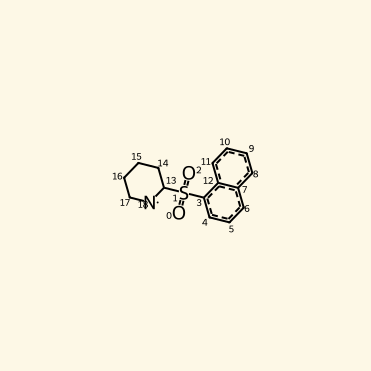 O=S(=O)(c1cccc2ccccc12)C1CCCC[N]1